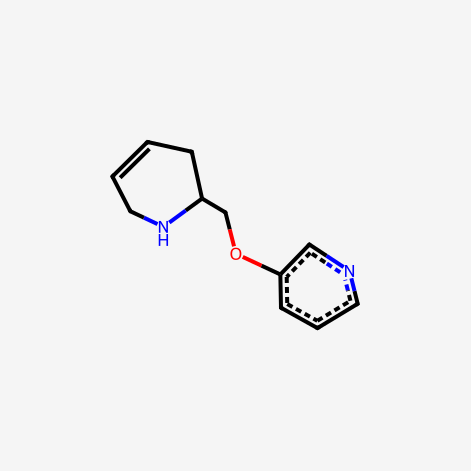 C1=CCC(COc2cccnc2)NC1